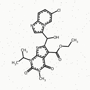 CCOC(=O)c1c(C(O)c2cnc3ccc(Cl)cn23)sc2c1c(=O)n(C)c(=O)n2C(C)C